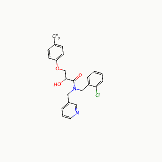 O=C(C(O)COc1ccc(C(F)(F)F)cc1)N(Cc1cccnc1)Cc1ccccc1Cl